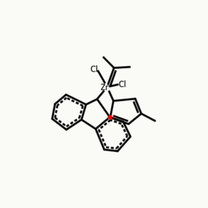 CC1=C[CH]([Zr]([Cl])([Cl])(=[C](C)C)[CH]2c3ccccc3-c3ccccc32)C=C1